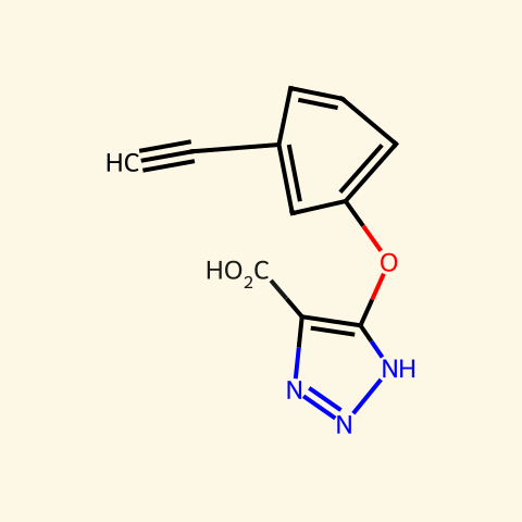 C#Cc1cccc(Oc2[nH]nnc2C(=O)O)c1